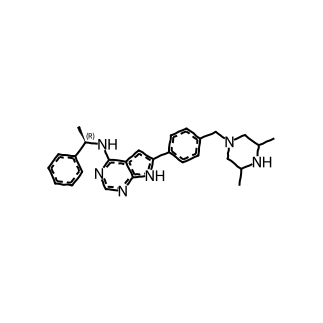 CC1CN(Cc2ccc(-c3cc4c(N[C@H](C)c5ccccc5)ncnc4[nH]3)cc2)CC(C)N1